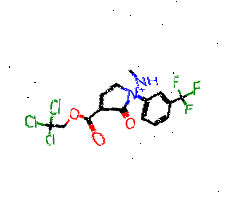 CN[N+]1(c2cccc(C(F)(F)F)c2)CCC(C(=O)OCC(Cl)(Cl)Cl)C1=O